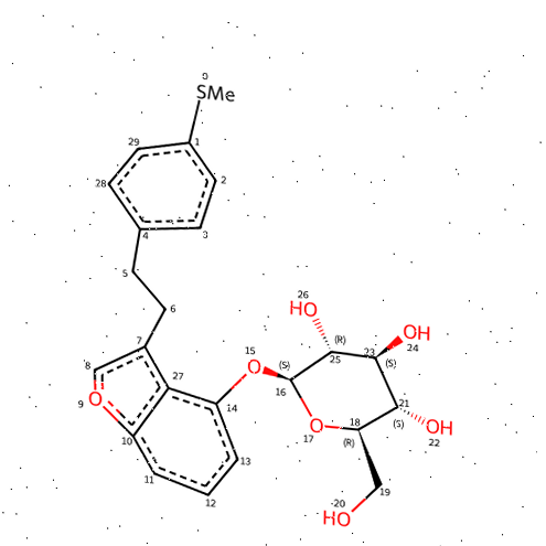 CSc1ccc(CCc2coc3cccc(O[C@@H]4O[C@H](CO)[C@@H](O)[C@H](O)[C@H]4O)c23)cc1